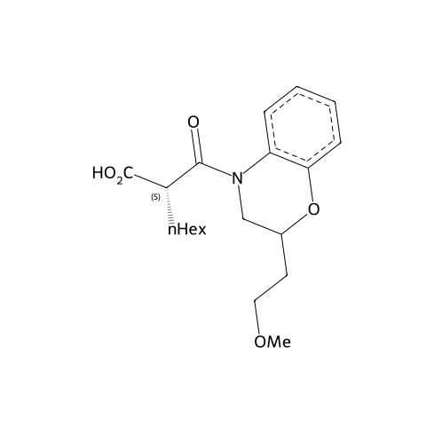 CCCCCC[C@H](C(=O)O)C(=O)N1CC(CCOC)Oc2ccccc21